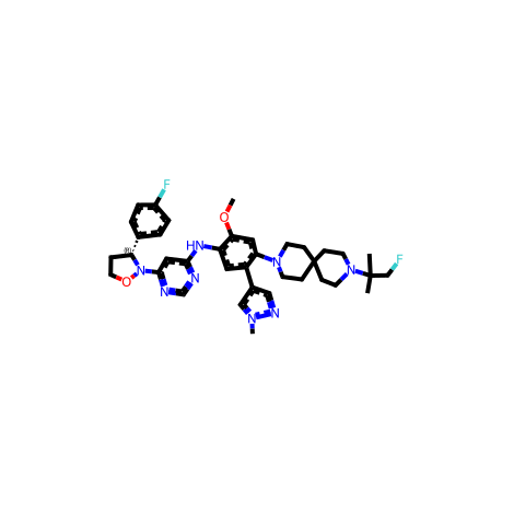 COc1cc(N2CCC3(CC2)CCN(C(C)(C)CF)CC3)c(-c2cnn(C)c2)cc1Nc1cc(N2OCC[C@@H]2c2ccc(F)cc2)ncn1